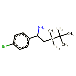 CC(C)(C)[Si](C)(C)CC(N)c1ccc(Br)cc1